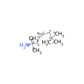 CC(C)(C)CC1=CC1CC(C)(C)N